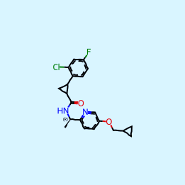 C[C@@H](NC(=O)C1CC1c1ccc(F)cc1Cl)c1ccc(OCC2CC2)cn1